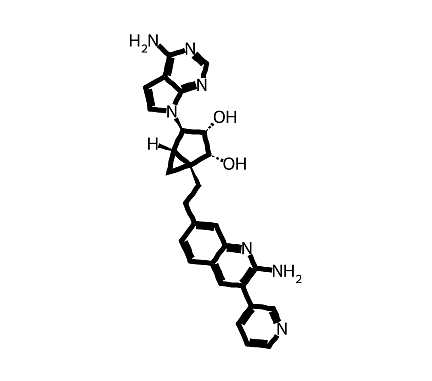 Nc1nc2cc(CC[C@@]34C[C@@H]3[C@@H](n3ccc5c(N)ncnc53)[C@H](O)[C@@H]4O)ccc2cc1-c1cccnc1